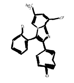 O=C(O)c1cc(Cl)c2nc(-c3ccc(Cl)cc3)c(-c3ccccc3Cl)n2c1